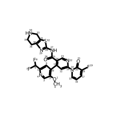 COc1cnc(C(F)F)cc1-c1cc(-n2cccc(F)c2=O)ncc1C(=O)Nc1nc2c(s1)CNCC2